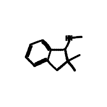 CNC1c2ccccc2CC1(C)C